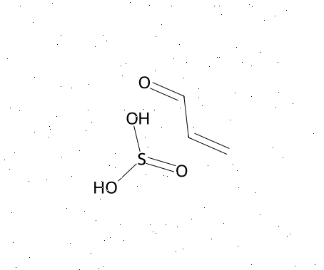 C=CC=O.O=S(O)O